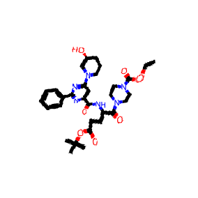 CCOC(=O)N1CCN(C(=O)C(CCC(=O)OC(C)(C)C)NC(=O)c2cc(N3CCC[C@H](O)C3)nc(-c3ccccc3)n2)CC1